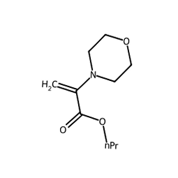 C=C(C(=O)OCCC)N1CCOCC1